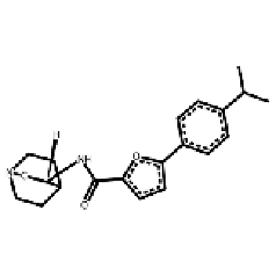 CC(C)c1ccc(-c2ccc(C(=O)N[C@H]3CN4CCC3CC4)o2)cc1